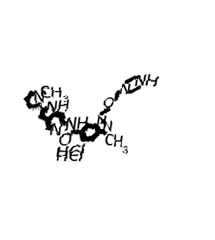 Cc1nn(CCOCCN2CCNCC2)c2cc(C(=O)Nc3cc4[nH]c([C@H]5CCCN5C)cc4cn3)ccc12.Cl.Cl